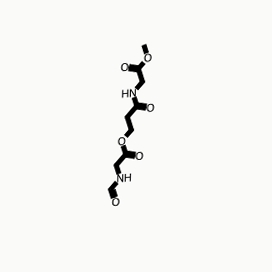 COC(=O)CNC(=O)CCOC(=O)CNC=O